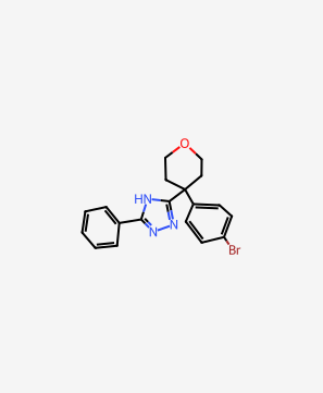 Brc1ccc(C2(c3nnc(-c4ccccc4)[nH]3)CCOCC2)cc1